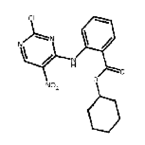 O=C(OC1CCCCC1)c1ccccc1Nc1nc(Cl)ncc1[N+](=O)[O-]